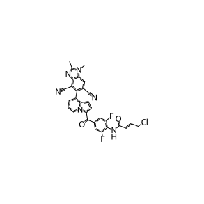 Cc1nc2c(C#N)c(-c3cccn4c(C(=O)c5cc(F)c(NC(=O)/C=C/CCl)c(F)c5)ccc34)c(C#N)cc2n1C